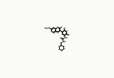 CNc1cc2nc(C)c(-c3cc(NC(=O)NCC4CCCCC4)c(F)cc3C)cc2cn1